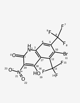 O=c1[nH]c2cc(C(F)(F)F)c(Br)c(C(F)(F)F)c2c(O)c1[N+](=O)[O-]